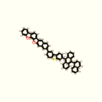 c1ccc2c(-c3c4ccccc4c(-c4ccc5c(c4)sc4ccc(-c6ccc7cc8c(cc7c6)oc6c8ccc7c8ccccc8oc76)cc45)c4ccccc34)cccc2c1